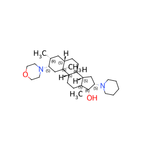 C[C@@H]1C[C@@H]2CC[C@@H]3[C@H](CC[C@]4(C)[C@@H](O)[C@@H](N5CCCCC5)C[C@@H]34)[C@@]2(C)C[C@@H]1N1CCOCC1